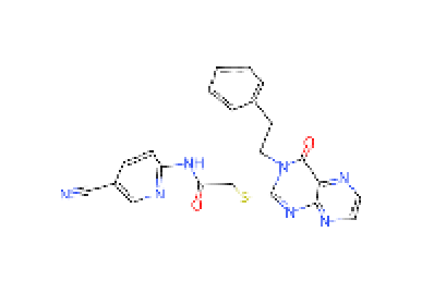 N#Cc1ccc(NC(=O)CSc2nc3nccnc3c(=O)n2CCc2ccccc2)nc1